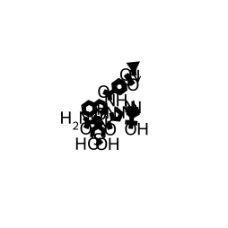 CN(C1CC1)S(=O)(=O)c1ccc(C(=O)NC(CC2CCCCC2)C(=O)N2C[C@@H](n3nncc3C(C)(C)O)C[C@H]2C(=O)NC2(C(=O)C(N)=O)CCS(O)(O)CC2)cc1